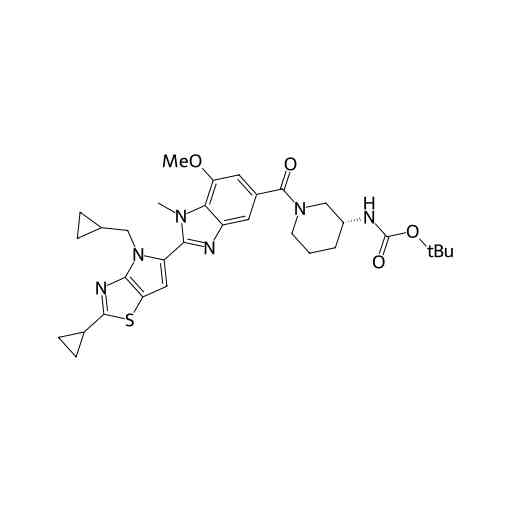 COc1cc(C(=O)N2CCC[C@@H](NC(=O)OC(C)(C)C)C2)cc2nc(-c3cc4sc(C5CC5)nc4n3CC3CC3)n(C)c12